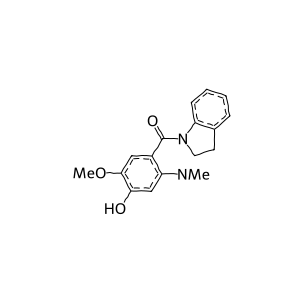 CNc1cc(O)c(OC)cc1C(=O)N1CCc2ccccc21